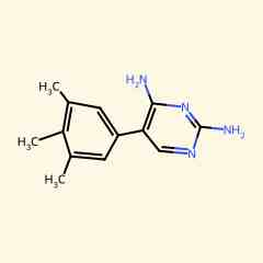 Cc1cc(-c2cnc(N)nc2N)cc(C)c1C